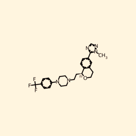 Cn1ncnc1-c1ccc2c(c1)CCO[C@H]2CCN1CCN(c2ccc(C(F)(F)F)cc2)CC1